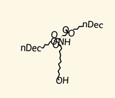 CCCCCCCCCCCCCCOC(=O)CC[C@H](NC(=O)CCCCCCCCCCO)C(=O)OCCCCCCCCCCCCCC